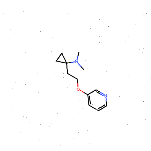 CN(C)C1(CCOc2cccnc2)CC1